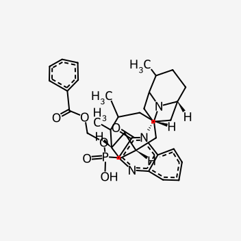 CC1CC[C@@H]2C[C@H](n3c(=O)c(P(=O)(O)OCOC(=O)c4ccccc4)nc4ccccc43)CC1N2[C@H]1CC(C)C(C)[C@H]2C[C@@H](C1)C2